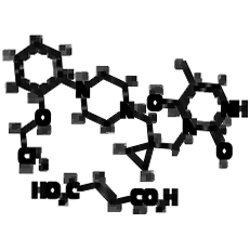 Cc1c[nH]c(=O)n(CC2(CN3CCN(c4ccccc4OCC(F)(F)F)CC3)CC2)c1=O.O=C(O)/C=C/C(=O)O